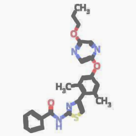 CCCOc1cnc(Oc2cc(C)c(-c3csc(NC(=O)c4ccccc4)n3)c(C)c2)cn1